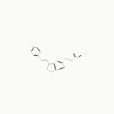 C=CC(=O)CCc1ccc2c(c1)C(CCc1ccc(C(F)(F)F)cc1)CC2